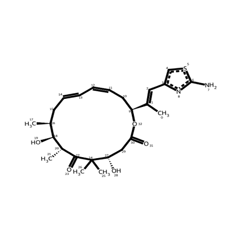 C/C(=C\c1csc(N)n1)[C@@H]1C/C=C\C=C\C[C@H](C)[C@H](O)[C@@H](C)C(=O)C(C)(C)[C@@H](O)CC(=O)O1